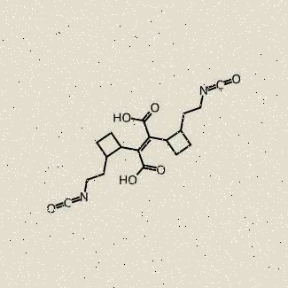 O=C=NCCC1CCC1/C(C(=O)O)=C(\C(=O)O)C1CCC1CCN=C=O